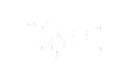 N#Cc1cc(-c2cc(=O)n3ncc(C(N)=O)c3[nH]2)ccc1O